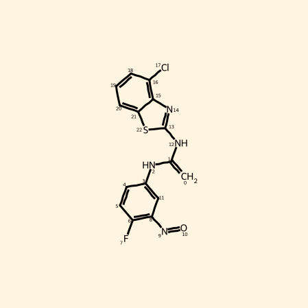 C=C(Nc1ccc(F)c(N=O)c1)Nc1nc2c(Cl)cccc2s1